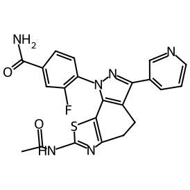 CC(=O)Nc1nc2c(s1)-c1c(c(-c3cccnc3)nn1-c1ccc(C(N)=O)cc1F)CC2